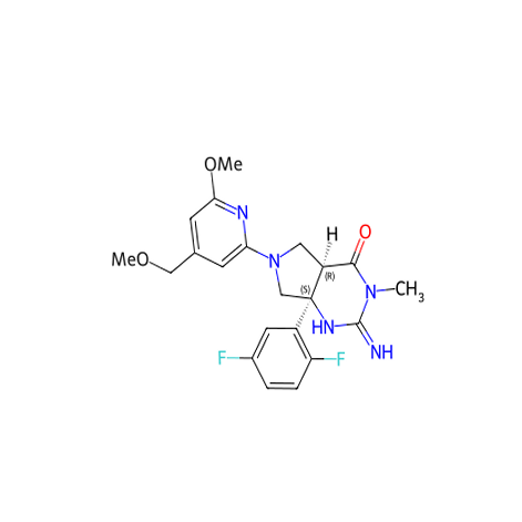 COCc1cc(OC)nc(N2C[C@H]3C(=O)N(C)C(=N)N[C@@]3(c3cc(F)ccc3F)C2)c1